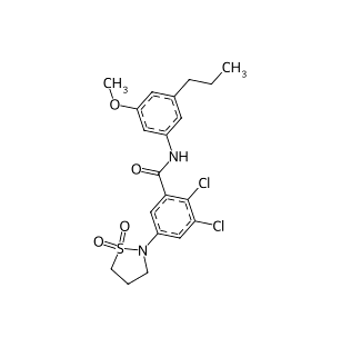 CCCc1cc(NC(=O)c2cc(N3CCCS3(=O)=O)cc(Cl)c2Cl)cc(OC)c1